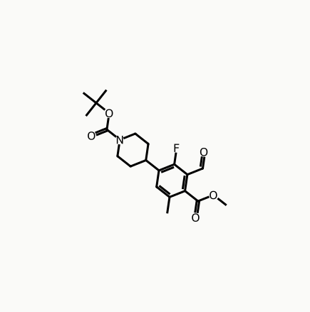 COC(=O)c1c(C)cc(C2CCN(C(=O)OC(C)(C)C)CC2)c(F)c1C=O